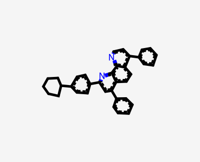 c1ccc(-c2ccnc3c2ccc2c(-c4ccccc4)cc(-c4ccc(C5CCCCC5)cc4)nc23)cc1